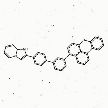 C1=CC2NC(c3ccc(-c4cccc(-c5ccc6c7c(cccc57)-c5ccccc5O6)c4)cc3)=CN2C=C1